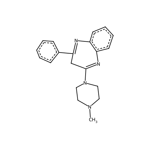 CN1CCN(C2=Nc3ccccc3N=C(c3ccccc3)C2)CC1